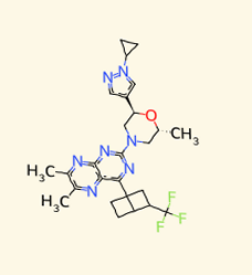 Cc1nc2nc(N3C[C@@H](C)O[C@H](c4cnn(C5CC5)c4)C3)nc(C34CCC3C(C(F)(F)F)C4)c2nc1C